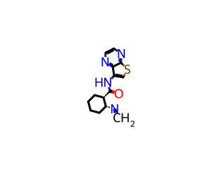 C=N[C@@H]1CCCC[C@H]1C(=O)Nc1csc2nccnc12